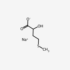 CSCCC(O)C(=O)[O-].[Na+]